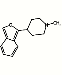 CN1CCC(c2occ3ccccc23)CC1